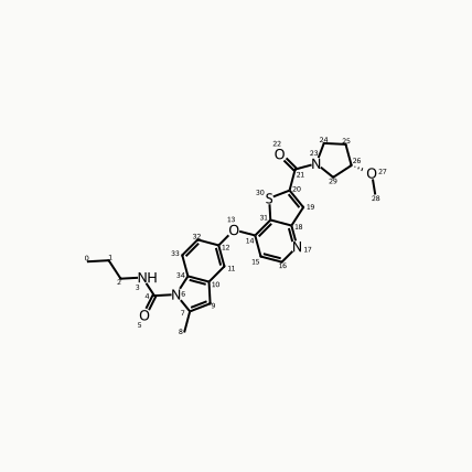 CCCNC(=O)n1c(C)cc2cc(Oc3ccnc4cc(C(=O)N5CC[C@H](OC)C5)sc34)ccc21